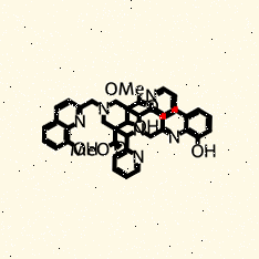 COC(=O)C12CN(Cc3ccc4cccc(O)c4n3)CC(C(=O)OC)(C(c3ccccn3)N(Cc3ccc4cccc(O)c4n3)C1c1ccccn1)C2O